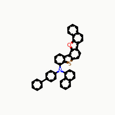 c1ccc(-c2ccc(N(c3cccc4ccccc34)c3cccc4c3sc3ccc5c6ccc7ccccc7c6oc5c34)cc2)cc1